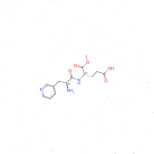 COC(=O)[C@H](CCC(=O)O)NC(=O)[C@@H](N)Cc1cccnc1